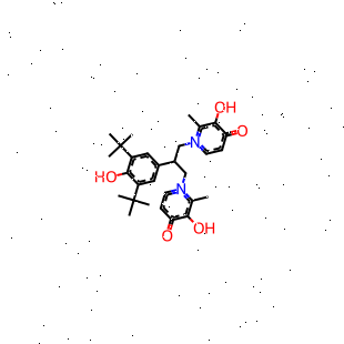 Cc1c(O)c(=O)ccn1CC(Cn1ccc(=O)c(O)c1C)c1cc(C(C)(C)C)c(O)c(C(C)(C)C)c1